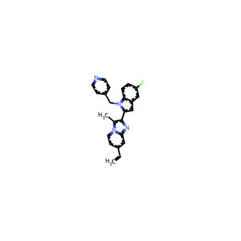 C=Cc1ccn2c(C)c(-c3cc4cc(F)ccc4n3Cc3ccncc3)nc2c1